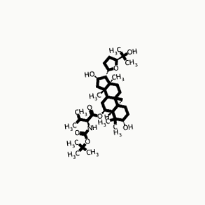 CC(C)[C@H](NC(=O)OC(C)(C)C)C(=O)O[C@H]1CC2C3(CC[C@]4(C)[C@@H](C5CC[C@@H](C(C)(C)O)O5)[C@@H](O)C[C@@]24C)C[C@@]32CC[C@H](O)C(C)(C)[C@H]12